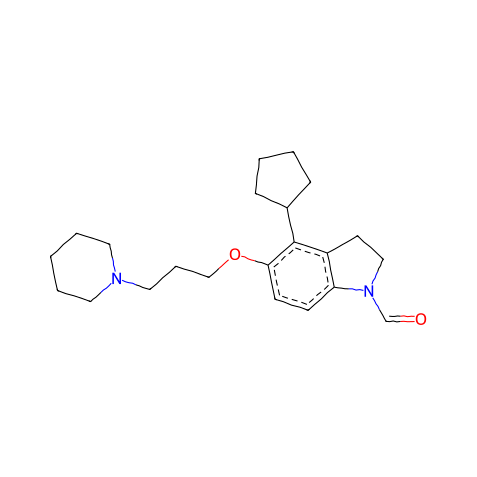 O=CN1CCc2c1ccc(OCCCN1CCCCC1)c2C1CCCC1